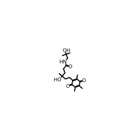 CC1=C(C)C(=O)C(CCC(C)(O)CCC(=O)NCC(C)(C)O)=C(C)C1=O